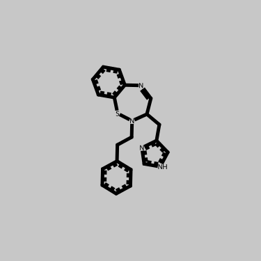 C1=Nc2ccccc2SN(CCc2ccccc2)C1Cc1c[nH]cn1